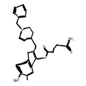 COc1cc2c(cc1C)C(OC(=O)CCC(N)=O)=C(CC1CCN(Cc3ccccc3)CC1)C2